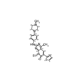 CCn1c(=O)c(-c2nccs2)cc2c(C)nc(Nc3ccc(N4CCN(C)CC4)cc3)nc21